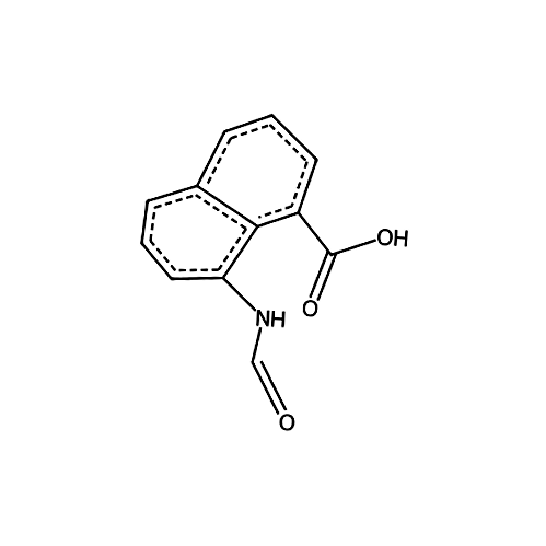 O=CNc1cccc2cccc(C(=O)O)c12